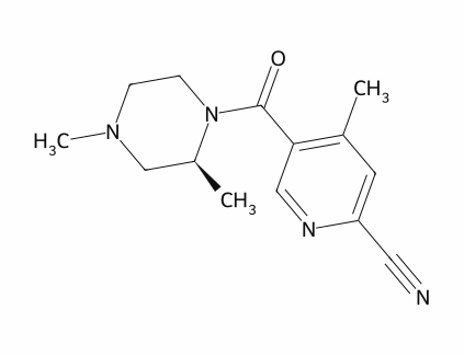 Cc1cc(C#N)ncc1C(=O)N1CCN(C)C[C@@H]1C